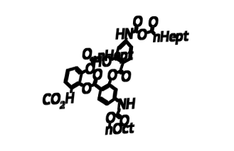 CCCCCCCCOC(=O)Nc1ccc(C(=O)Oc2c(OC(=O)CCCCCCC)cccc2C(=O)O)c(OC(=O)c2ccc(NC(=O)OC(=O)CCCCCCC)cc2O)c1